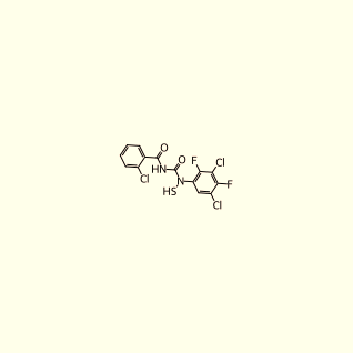 O=C(NC(=O)N(S)c1cc(Cl)c(F)c(Cl)c1F)c1ccccc1Cl